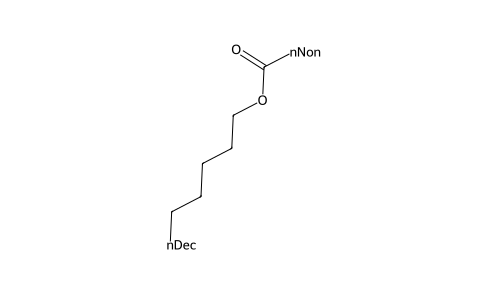 CCCCCCCCCCCCCCCOC(=O)CCCCCCCCC